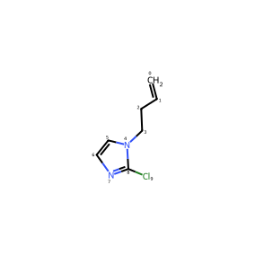 C=CCCn1ccnc1Cl